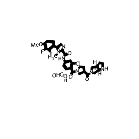 COc1ccc(-c2cnc(C(=O)Nc3ccc(C(=O)N4CCC(C(=O)N5C[C@H]6CCN[C@H]6C5)C4)c(Cl)c3)n2C)c(F)c1F.O=CO